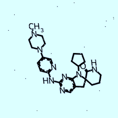 CN1CCN(c2ccc(Nc3ncc4c(n3)N(C3CCCC3)C3(CCCNC3=O)C4)nc2)CC1